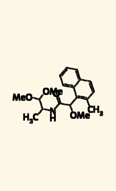 COC(C(=O)NC(C)C(OC)OC)c1c(C)ccc2ccccc12